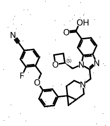 N#Cc1ccc(COc2cccc(C34CCN(Cc5nc6ccc(C(=O)O)cc6n5C[C@@H]5CCO5)CC3C4)c2)c(F)c1